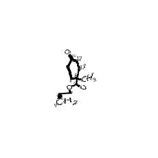 C=CCOC(=O)C1(C)C=CC(=O)CC1